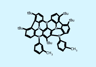 Cc1cccc(B2c3c4c5c6c(c3C(C)(C)C)B(c3cccc(C)c3)c3ccc(C(C)(C)C)c7c8c(C(C)(C)C)ccc(c8n-6c37)B5c3ccc(C(C)(C)C)c5c6c(C(C)(C)C)ccc2c6n-4c35)c1